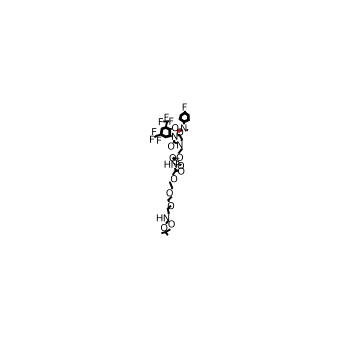 CN(C(=O)Oc1c(N2CCN(CCOS(=O)(=O)NC(=O)COCCOCCOCCNC(=O)OC(C)(C)C)C2=O)cc(C(F)(F)F)cc1C(F)(F)F)c1ccc(F)cc1